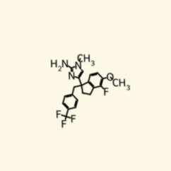 COc1ccc2c(c1F)CCC2(Cc1ccc(C(F)(F)F)cc1)c1cn(C)c(N)n1